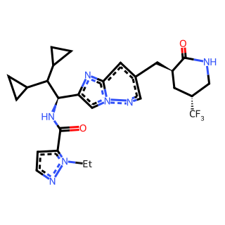 CCn1nccc1C(=O)N[C@H](c1cn2ncc(C[C@@H]3C[C@@H](C(F)(F)F)CNC3=O)cc2n1)C(C1CC1)C1CC1